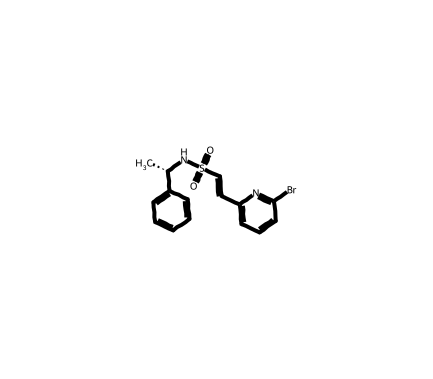 C[C@H](NS(=O)(=O)C=Cc1cccc(Br)n1)c1ccccc1